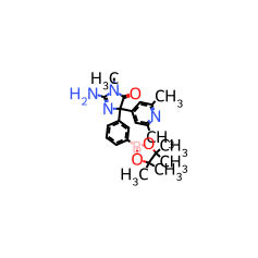 Cc1cc(C2(c3cccc(B4OC(C)(C)C(C)(C)O4)c3)N=C(N)N(C)C2=O)cc(C)n1